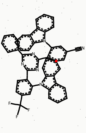 N#Cc1ccc(-c2nc(-c3ccccc3)nc(-c3ccc(C(F)(F)F)cc3-n3c4ccccc4c4ccccc43)n2)c(-n2c3ccccc3c3ccccc32)c1